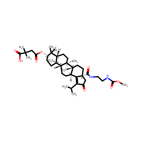 COC(=O)NCCNC(=O)[C@@]12CC[C@]3(C)[C@H](CC[C@@H]4[C@@]5(C)CC[C@H](OC(=O)CC(C)(C)C(=O)O)C(C)(C)[C@@H]5CC[C@]43C)C1=C(C(C)C)C(=O)C2